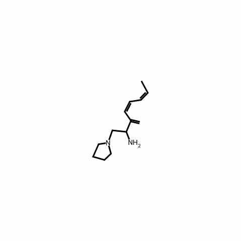 C=C(/C=C\C=C/C)C(N)CN1CCCC1